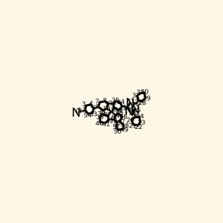 N#Cc1ccc(-c2ccc3c(c2)C2(c4cc(-c5nc(-c6ccccc6)nc(-c6ccccc6)n5)ccc4-3)c3ccccc3-c3c2ccc2ccccc32)cc1